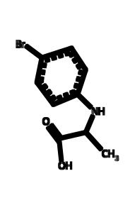 CC(Nc1ccc(Br)cc1)C(=O)O